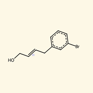 OC/C=C/Cc1cccc(Br)c1